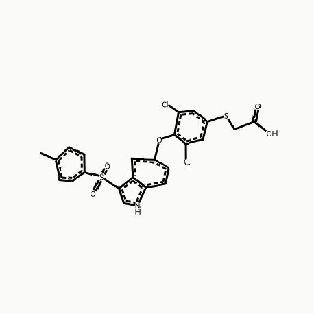 Cc1ccc(S(=O)(=O)c2c[nH]c3ccc(Oc4c(Cl)cc(SCC(=O)O)cc4Cl)cc23)cc1